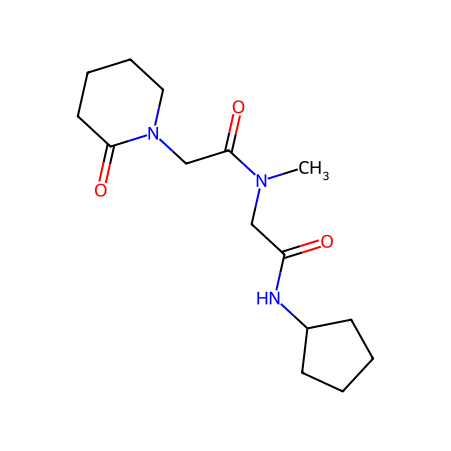 CN(CC(=O)NC1CCCC1)C(=O)CN1CCCCC1=O